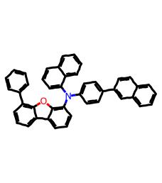 c1ccc(-c2cccc3c2oc2c(N(c4ccc(-c5ccc6ccccc6c5)cc4)c4cccc5ccccc45)cccc23)cc1